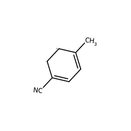 CC1=CC=C(C#N)C[CH]1